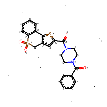 O=C(c1ccccc1)N1CCN(C(=O)c2cc3c(s2)-c2ccccc2S(=O)(=O)C3)CC1